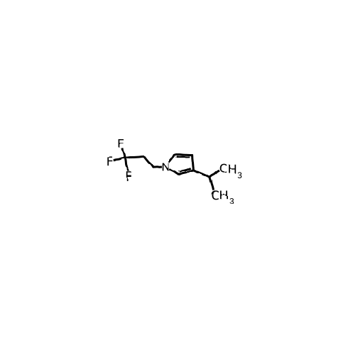 CC(C)c1ccn(CCC(F)(F)F)c1